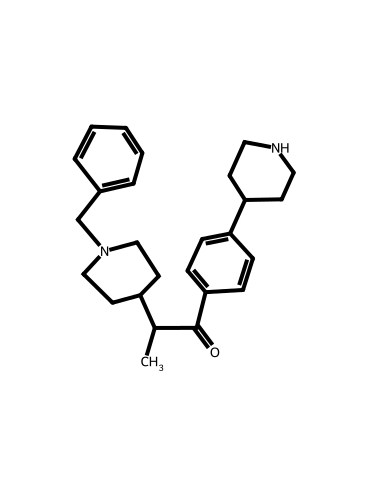 CC(C(=O)c1ccc(C2CCNCC2)cc1)C1CCN(Cc2ccccc2)CC1